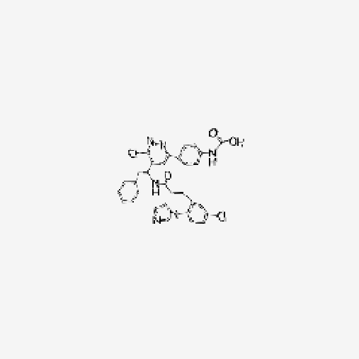 O=C(O)Nc1ccc(-c2cc(C(Cc3ccccc3)NC(=O)C=Cc3cc(Cl)ccc3-n3ccnc3)c(Cl)nn2)cc1